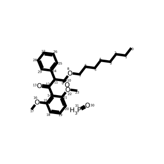 CCCCCCCCOC(=O)C(C(=O)c1c(OC)cccc1OC)c1ccccc1.O=[PH3]